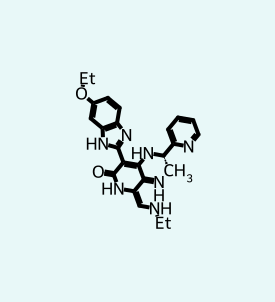 CCN/C=C1/NC(=O)C(c2nc3ccc(OCC)cc3[nH]2)=C(N[C@@H](C)c2ccccn2)C1=N